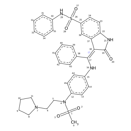 CS(=O)(=O)N(CCN1CCCC1)c1ccc(N/C(=C2\C(=O)Nc3ccc(S(=O)(=O)Nc4ccccc4)cc32)c2ccccc2)cc1